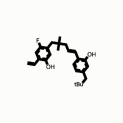 C=Cc1cc(F)c(CC(C)(C)C/C=C/c2ccc(CC(C)(C)C)cc2O)cc1O